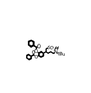 CC(C)(C)NCCCC(CS(=O)(=O)O)c1ccc(OC(=O)c2ccccc2)c(OC(=O)c2ccccc2)c1